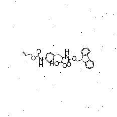 C=CCOC(=O)Nc1ccc(CC(NC(=O)OCC2c3ccccc3-c3ccccc32)C(=O)O)cc1